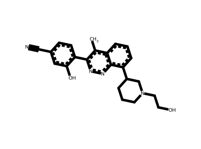 Cc1c(-c2ccc(C#N)cc2O)nnc2c(C3CCCN(CCO)C3)cccc12